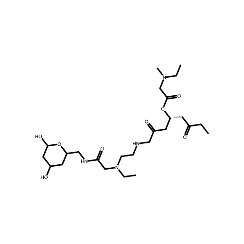 CCC(=O)C[C@H](CC(=O)CNCCN(CC)CC(=O)NCC1CC(O)CC(O)O1)OC(=O)CN(C)CC